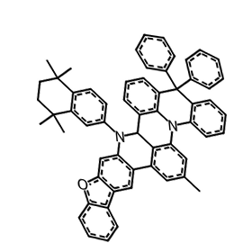 Cc1cc2c3c(c1)N1c4ccccc4C(c4ccccc4)(c4ccccc4)c4cccc(c41)C3N(c1ccc3c(c1)C(C)(C)CCC3(C)C)c1cc3oc4ccccc4c3cc1-2